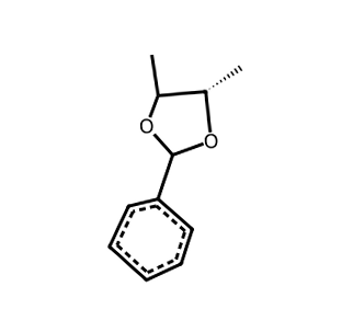 CC1OC(c2ccccc2)O[C@H]1C